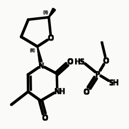 COP(=O)(S)S.Cc1cn([C@H]2CC[C@@H](C)O2)c(=O)[nH]c1=O